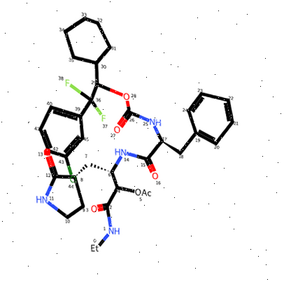 CCNC(=O)C(OC(C)=O)[C@H](C[C@@H]1CCNC1=O)NC(=O)[C@H](Cc1ccccc1)NC(=O)OC(C1CCCCC1)C(F)(F)c1cccc(Cl)c1